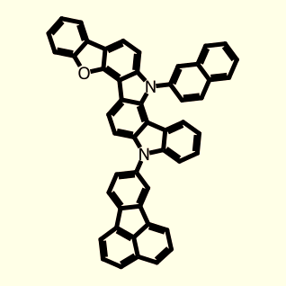 c1ccc2cc(-n3c4ccc5c6ccccc6oc5c4c4ccc5c(c6ccccc6n5-c5ccc6c(c5)-c5cccc7cccc-6c57)c43)ccc2c1